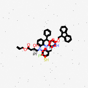 C=CCOC(=O)C[C@H](O)[C@@H](C(C)C)N(C(=O)CCS)c1cccc(C(c2ccccc2)c2ccccc2)c1NC(=O)[C@@H](Cc1ccc(F)cc1)NC(=O)OCC1c2ccccc2-c2ccccc21